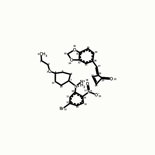 CCCOC1CCC(N(N)c2cc(Br)ccc2[N+](=O)[O-])CC1.O=C1C=CC1=Cc1ccc2c(c1)OCO2